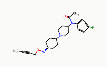 CC#CCON=C1CCC(N2CCC(N(C(C)=O)c3ccc(F)cc3)CC2)CC1